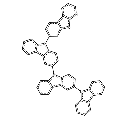 c1cnc2oc3cc(-n4c5ccccc5c5cc(-n6c7ccccc7c7cc(-n8c9ccccc9c9ccccc98)ccc76)ccc54)ccc3c2c1